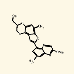 COc1cnc2c(-c3cc4c5c(cc(C)c4o3)OC(CO)CO5)cc(C)cc2n1